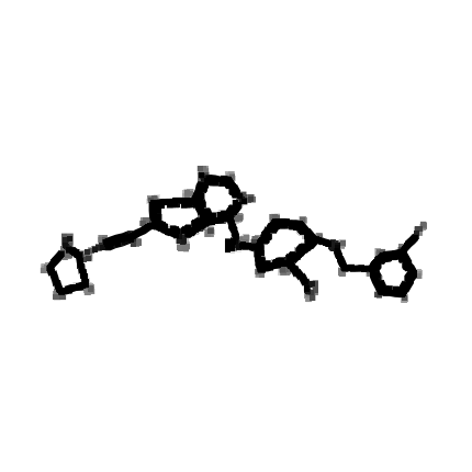 Fc1cccc(COc2ccc(Nc3ncnc4cc(C#C[C@@H]5C[CH]CN5)sc34)cc2Cl)c1